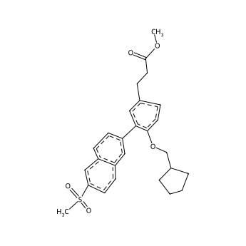 COC(=O)CCc1ccc(OCC2CCCC2)c(-c2ccc3cc(S(C)(=O)=O)ccc3c2)c1